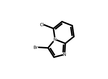 Clc1cccc2ncc(Br)n12